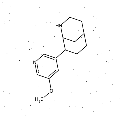 COc1cncc(C2CCC3CCNC2C3)c1